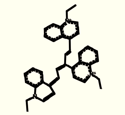 CCN1C=C/C(=C/C=C(/C=C/c2cc[n+](CC)c3ccccc23)c2cc[n+](CC)c3ccccc23)c2ccccc21